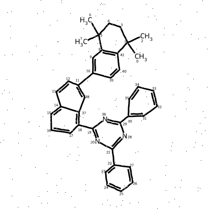 CC1(C)CCC(C)(C)c2cc(-c3ccc4cccc(-c5nc(-c6ccccc6)nc(-c6ccccc6)n5)c4c3)ccc21